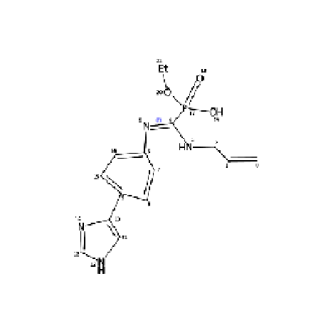 C=CCN/C(=N\c1ccc(-c2c[nH]cn2)cc1)P(=O)(O)OCC